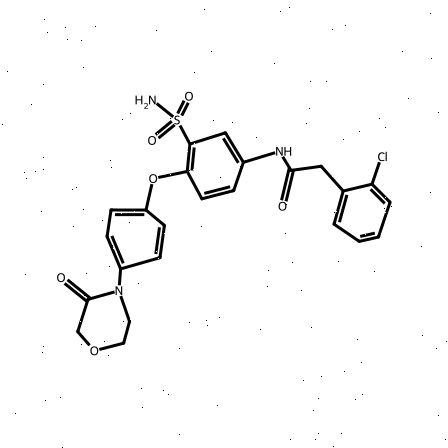 NS(=O)(=O)c1cc(NC(=O)Cc2ccccc2Cl)ccc1Oc1ccc(N2CCOCC2=O)cc1